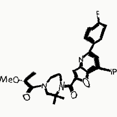 CO[C@H](C)C(=O)N1CCN(C(=O)c2cc3nc(-c4ccc(F)cc4)cc(C(C)C)c3o2)C(C)(C)C1